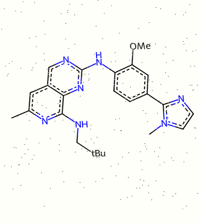 COc1cc(-c2nccn2C)ccc1Nc1ncc2cc(C)nc(NCC(C)(C)C)c2n1